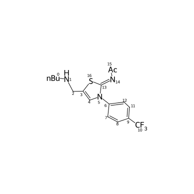 CCCCNCc1cn(-c2ccc(C(F)(F)F)cc2)/c(=N/C(C)=O)s1